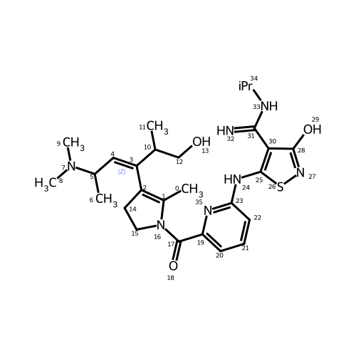 CC1=C(/C(=C\C(C)N(C)C)C(C)CO)CCN1C(=O)c1cccc(Nc2snc(O)c2C(=N)NC(C)C)n1